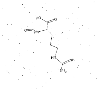 N=C(N)NCCC[C@H](NC=O)C(=O)O